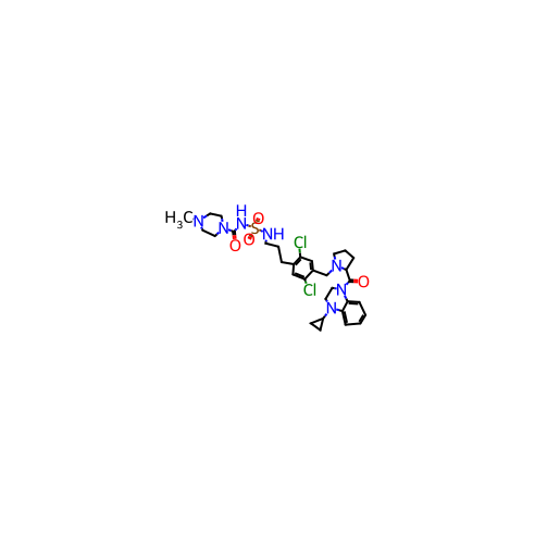 CN1CCN(C(=O)NS(=O)(=O)NCCCc2cc(Cl)c(CN3CCCC3C(=O)N3CCN(C4CC4)c4ccccc43)cc2Cl)CC1